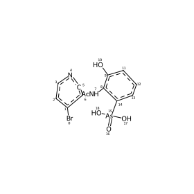 Brc1ccncc1.CC(=O)Nc1c(O)cccc1[As](=O)(O)O